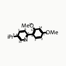 COc1ccc(-c2ccc(C(C)C)cn2)c(OC)c1